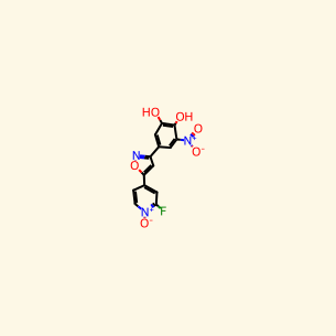 O=[N+]([O-])c1cc(-c2cc(-c3cc[n+]([O-])c(F)c3)on2)cc(O)c1O